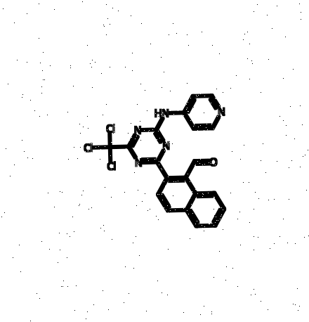 O=Cc1c(-c2nc(Nc3ccncc3)nc(C(Cl)(Cl)Cl)n2)ccc2ccccc12